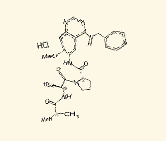 CN[C@@H](C)C(=O)N[C@H](C(=O)N1CCC[C@H]1C(=O)Nc1cc2c(NCc3ccccc3)ncnc2cc1OC)C(C)(C)C.Cl